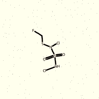 O=S(=O)(NCl)N(Cl)SCF